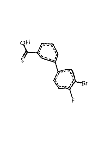 OC(=S)c1cccc(-c2ccc(F)c(Br)c2)c1